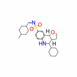 CC1CCC(/C=N\S(=O)(=O)c2ccc3c(c2)[C@H]2OCC[C@H]2C(C2CCCCC2)N3)CC1